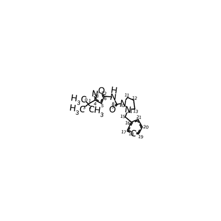 CC(C)(C)c1cc(NC(=O)N2CCCN2Cc2ccccc2)on1